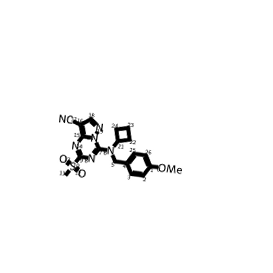 COc1ccc(CN(c2nc(S(C)(=O)=O)nc3c(C#N)cnn23)C2CCC2)cc1